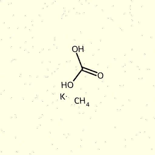 C.O=C(O)O.[K]